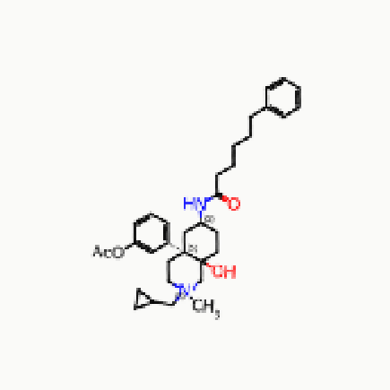 CC(=O)Oc1cccc([C@@]23CC[N@+](C)(CC4CC4)CC2(O)CC[C@H](NC(=O)CCCCCc2ccccc2)C3)c1